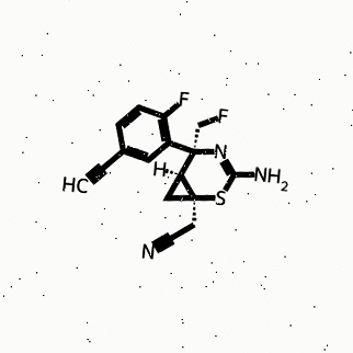 C#Cc1ccc(F)c([C@@]2(CF)N=C(N)S[C@@]3(CC#N)C[C@H]32)c1